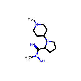 CN1CCC(N2CCCC2C(=N)N(C)N)CC1